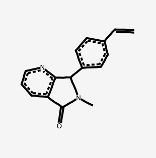 C=Cc1ccc(C2c3ncccc3C(=O)N2C)cc1